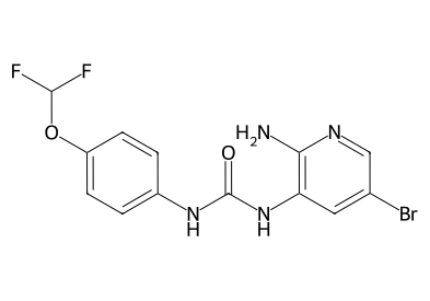 Nc1ncc(Br)cc1NC(=O)Nc1ccc(OC(F)F)cc1